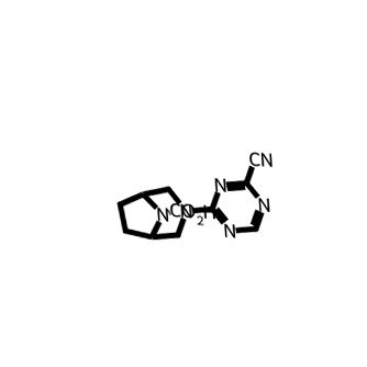 N#Cc1ncnc(N2CC3CCC(C2)N3C(=O)O)n1